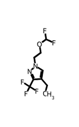 CCc1cn(CCOC(F)F)nc1C(F)(F)F